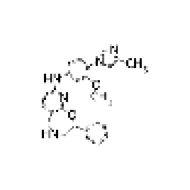 COc1cc(Nc2ccc3c(n2)OC(c2ccccc2)CNC3)ccc1-n1cnc(C)c1